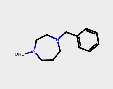 O=[C]N1CCCN(Cc2ccccc2)CC1